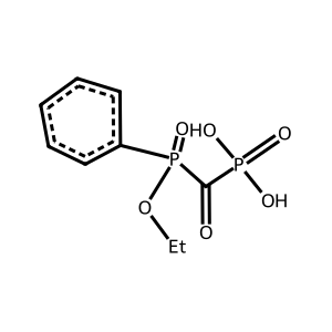 CCOP(=O)(C(=O)P(=O)(O)O)c1ccccc1